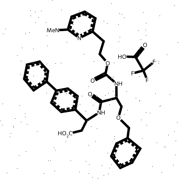 CNc1cccc(CCOC(=O)NC(COCc2ccccc2)C(=O)NC(CC(=O)O)c2ccc(-c3ccccc3)cc2)n1.O=C(O)C(F)(F)F